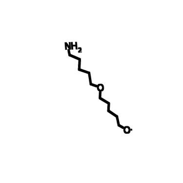 NCCCCCOCCCCC[O]